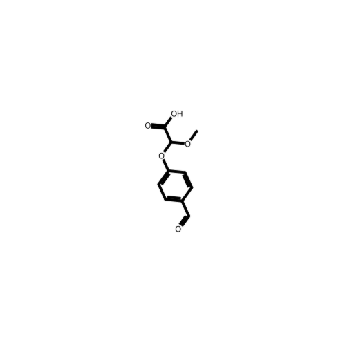 COC(Oc1ccc(C=O)cc1)C(=O)O